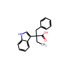 CCC(Cc1ccccc1)(C(=O)O)c1c[nH]c2ccccc12